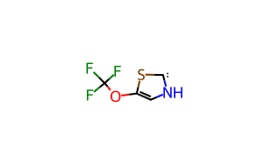 FC(F)(F)OC1=CN[C]S1